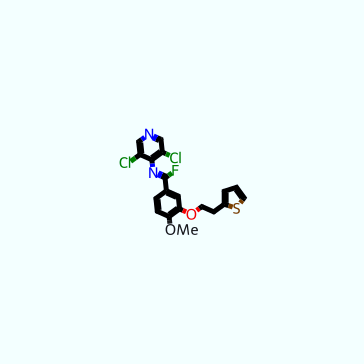 COc1ccc(/C(F)=N/c2c(Cl)cncc2Cl)cc1OCCc1cccs1